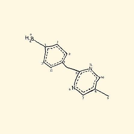 Bc1ccc(-c2ncc(C)cn2)cc1